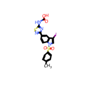 Cc1ccc(S(=O)(=O)n2cc(I)c3cc(-c4nsc(NC(=O)O)n4)ccc32)cc1